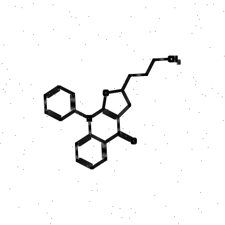 CCCCC1Cc2c(n(-c3ccccc3)c3ccccc3c2=O)O1